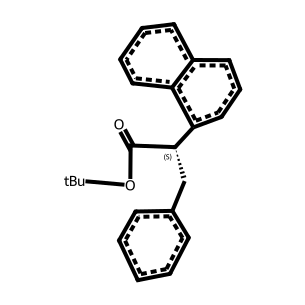 CC(C)(C)OC(=O)[C@@H](Cc1ccccc1)c1cccc2ccccc12